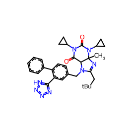 CC(C)(C)CC1=NC2(C)C(C(=O)N(C3CC3)C(=O)N2C2CC2)N1Cc1ccc(-c2ccccc2)c(-c2nnn[nH]2)c1